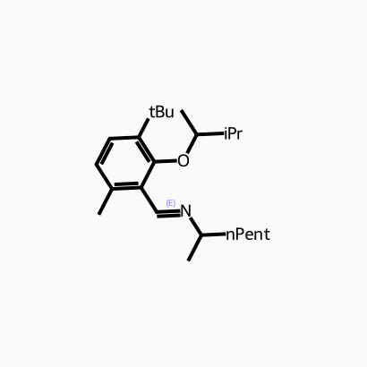 CCCCCC(C)/N=C/c1c(C)ccc(C(C)(C)C)c1OC(C)C(C)C